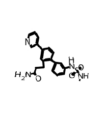 CNS(=O)(=O)Nc1cccc(-c2ccc(-c3cccnc3)cc2CCC(N)=O)c1